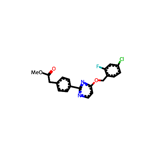 COC(=O)Cc1ccc(-c2nccc(OCc3ccc(Cl)cc3F)n2)cc1